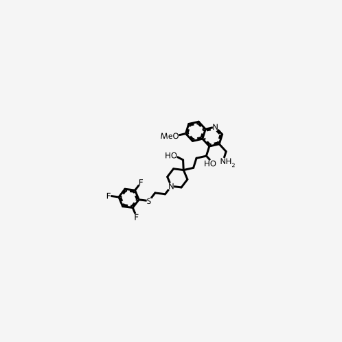 COc1ccc2ncc(CN)c(C(O)CCC3(CO)CCN(CCSc4c(F)cc(F)cc4F)CC3)c2c1